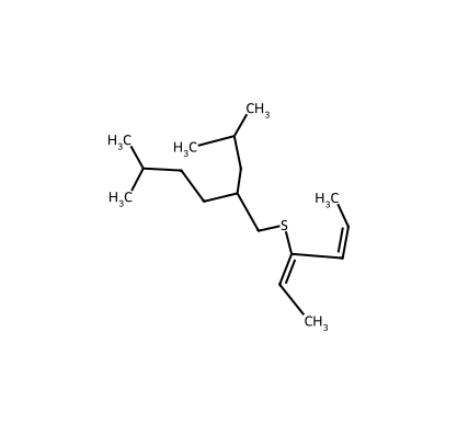 C/C=C\C(=C/C)SCC(CCC(C)C)CC(C)C